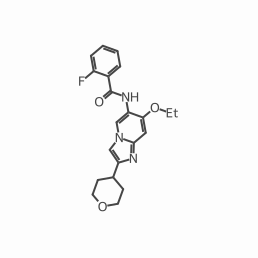 CCOc1cc2nc(C3CCOCC3)cn2cc1NC(=O)c1ccccc1F